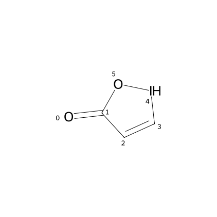 O=C1C=C[IH]O1